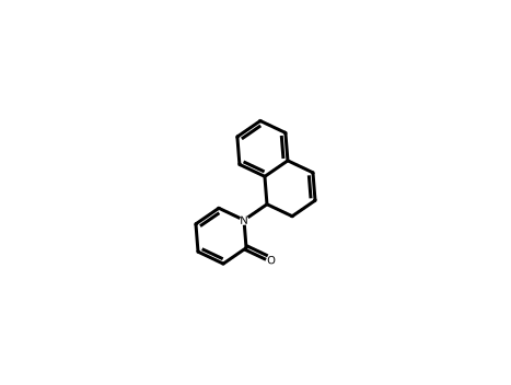 O=c1ccccn1C1CC=Cc2ccccc21